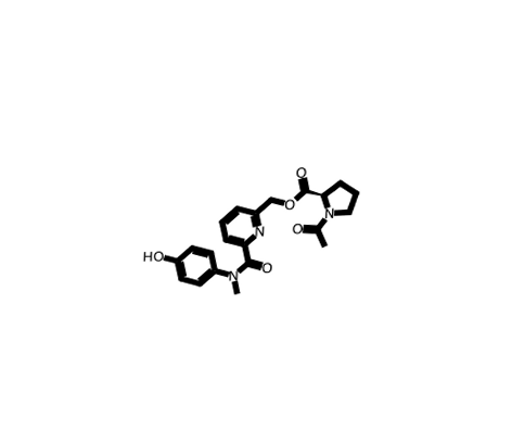 CC(=O)N1CCC[C@@H]1C(=O)OCc1cccc(C(=O)N(C)c2ccc(O)cc2)n1